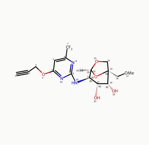 C#CCOc1cc(C(F)(F)F)nc(N[C@H]2[C@H]3OC[C@](COC)(O3)[C@H](O)[C@@H]2O)n1